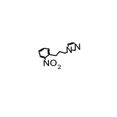 O=[N+]([O-])c1ccccc1CCCn1ccnc1